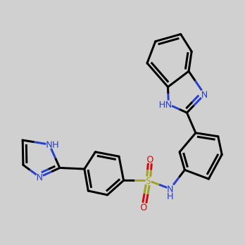 O=S(=O)(Nc1cccc(-c2nc3ccccc3[nH]2)c1)c1ccc(-c2ncc[nH]2)cc1